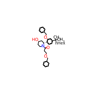 CCCCCCC(C)(C)c1ccc([C@H]2C[C@@H](O)CCN2C(=O)CCOCc2ccccc2)c(OCc2ccccc2)c1